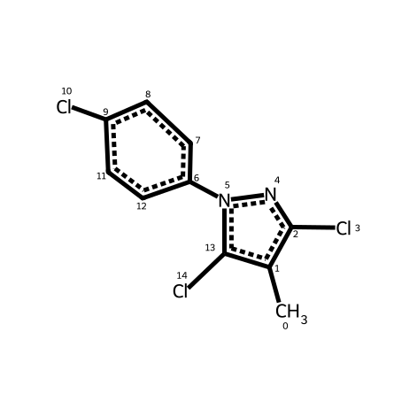 Cc1c(Cl)nn(-c2ccc(Cl)cc2)c1Cl